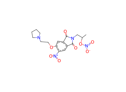 CC(CN1C(=O)c2cc(OCCN3CCCC3)c([N+](=O)[O-])cc2C1=O)O[N+](=O)[O-]